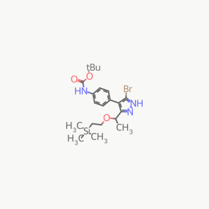 CC(OCC[Si](C)(C)C)c1n[nH]c(Br)c1-c1ccc(NC(=O)OC(C)(C)C)cc1